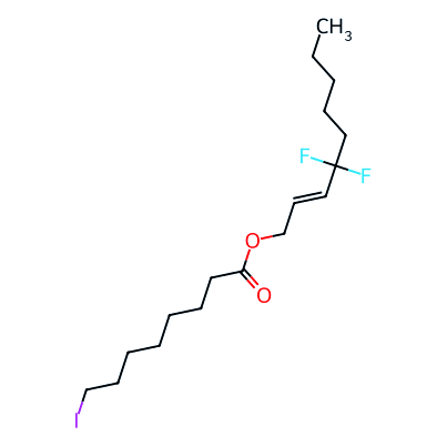 CCCCCC(F)(F)/C=C/COC(=O)CCCCCCCI